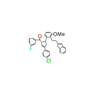 COc1cccc(C2CC(c3ccc(Cl)cc3)=CC2C(=O)c2cccc(F)c2)c1CCC1=Cc2ccccc2C1